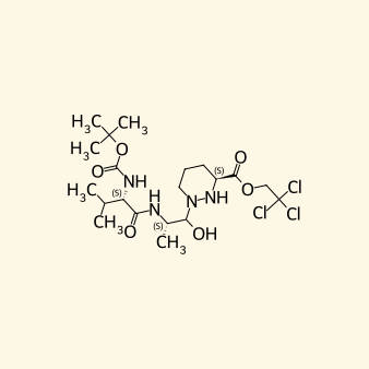 CC(C)[C@H](NC(=O)OC(C)(C)C)C(=O)N[C@@H](C)C(O)N1CCC[C@@H](C(=O)OCC(Cl)(Cl)Cl)N1